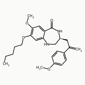 C=C(C[C@H]1CNc2cc(OCCCCC)c(OC)cc2C(=O)N1)c1ccc(OC)cc1